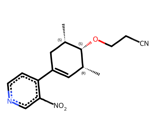 C[C@@H]1C=C(c2ccncc2[N+](=O)[O-])C[C@H](C)[C@@H]1OCCC#N